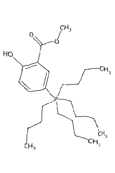 CCCCP(CCCC)(CCCC)(CCCC)c1ccc(O)c(C(=O)OC)c1